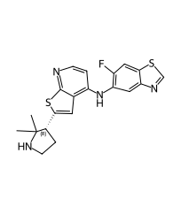 CC1(C)NCC[C@H]1c1cc2c(Nc3cc4ncsc4cc3F)ccnc2s1